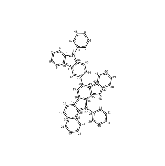 c1ccc(-n2c3ccccc3c3cc(-c4cc5c6ccc7ccccc7c6n(-c6ccccc6)c5c5sc6ccccc6c45)ccc32)cc1